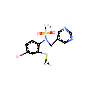 CSc1cc(Br)ccc1N(Cc1cncnc1)S(C)(=O)=O